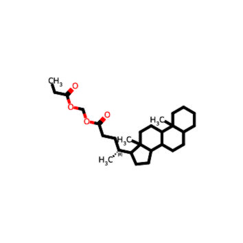 CCC(=O)OCOC(=O)CC[C@@H](C)C1CCC2C3CCC4CCCCC4(C)C3CCC21C